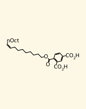 CCCCCCCC/C=C\CCCCCCCCOC(=O)c1ccc(C(=O)O)cc1C(=O)O